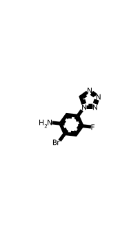 Nc1cc(-n2cnnn2)c(F)cc1Br